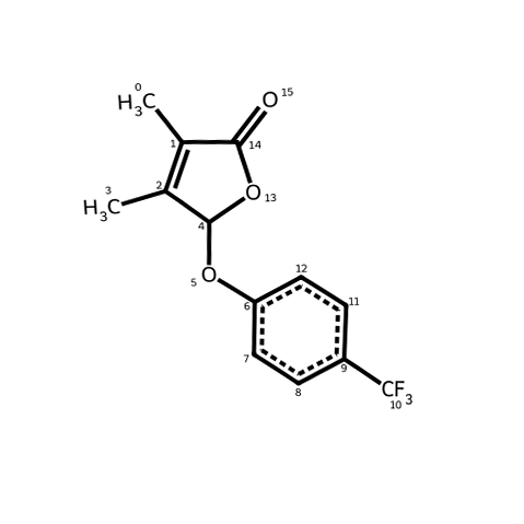 CC1=C(C)C(Oc2ccc(C(F)(F)F)cc2)OC1=O